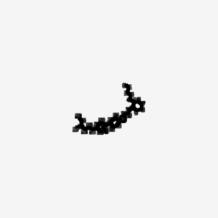 CCCCCC1CCCCC1CCCOc1ccc(-c2ccc(CCC[C@@H](C)CC)cn2)cc1